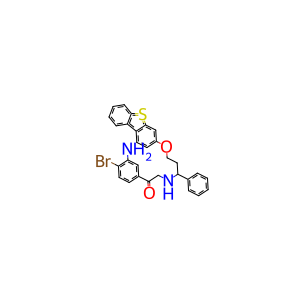 Nc1cc(C(=O)CNC(CCOc2ccc3c(c2)sc2ccccc23)c2ccccc2)ccc1Br